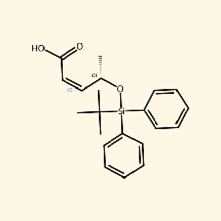 C[C@@H](/C=C\C(=O)O)O[Si](c1ccccc1)(c1ccccc1)C(C)(C)C